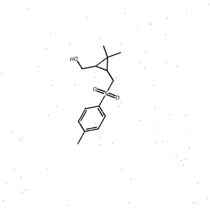 Cc1ccc(S(=O)(=O)CC2C(CO)C2(C)C)cc1